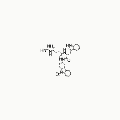 CCn1c2ccccc2c2cc(NC(=O)C(Cc3c[nH]c4ccccc34)NC(=O)CCCNC(=N)N)ccc21